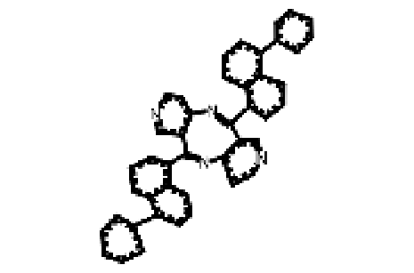 c1ccc(-c2cccc3c(/C4=N/c5ccncc5/C(c5cccc6c(-c7ccccc7)cccc56)=N\c5ccncc54)cccc23)cc1